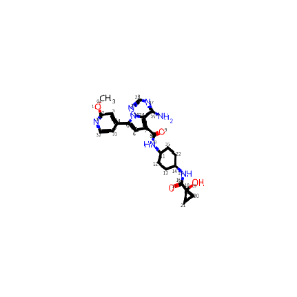 COc1cc(-c2cc(C(=O)NC3CCC(NC(=O)C4(O)CC4)CC3)c3c(N)ncnn23)ccn1